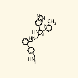 Cc1cccc(-c2nc(CNCc3ccccc3-c3ccc(CNI)cc3)[nH]c2-c2ccc3ncnn3c2)n1